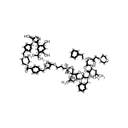 CC(C)C[C@H](NC(=O)[C@H](CCc1ccccc1)NC(=O)CN1CCOCC1)C(=O)N[C@@H](Cc1ccccc1)C(=O)N[C@@H](CC(C)C)C(=O)[C@](C)(O)COS(=O)(=O)CCCOc1cn(Cc2ccc(C(=O)N3CCN(Cc4ccc(-n5c(O)nnc5-c5cc(C(C)C)c(O)cc5O)cc4)CC3)cc2)nn1